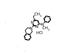 CCc1cc(N(C)c2ccccc2)nc(N2CCc3ccccc3C2)n1.Cl